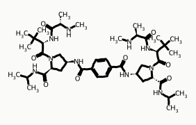 CN[C@@H](C)C(=O)N[C@H](C(=O)N1C[C@@H](NC(=O)c2ccc(C(=O)N[C@H]3C[C@@H](C(=O)NC(C)C)N(C(=O)[C@@H](NC(=O)[C@H](C)NC)C(C)(C)C)C3)cc2)C[C@H]1C(=O)NC(C)C)C(C)(C)C